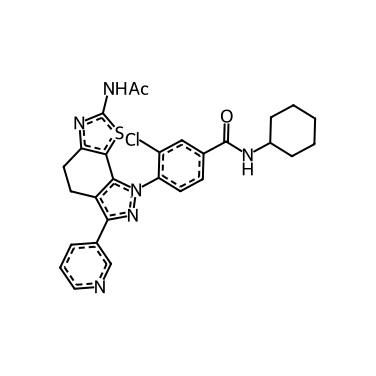 CC(=O)Nc1nc2c(s1)-c1c(c(-c3cccnc3)nn1-c1ccc(C(=O)NC3CCCCC3)cc1Cl)CC2